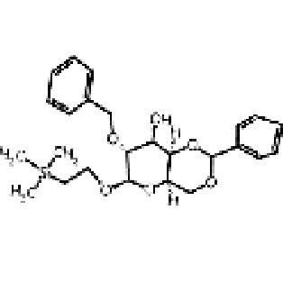 C[Si](C)(C)CCO[C@@H]1O[C@@H]2COC(c3ccccc3)O[C@@H]2[C@H](O)[C@H]1OCc1ccccc1